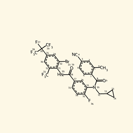 Cc1cc(C#N)ccc1C(=O)N(CC1CC1)c1cc(C(=O)Nc2c(Br)cc(C(F)(C(F)(F)F)C(F)(F)F)cc2C(F)(F)F)ccc1F